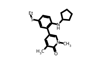 CCSc1ccc(NC2CCCC2)c(-c2cc(C)c(=O)n(C)c2)c1